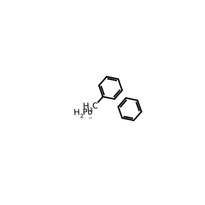 Cc1ccccc1.[PbH2].c1ccccc1